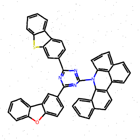 c1ccc2c3c(ccc2c1)-c1cccc2cccc(c12)N3c1nc(-c2ccc3c(c2)sc2ccccc23)nc(-c2ccc3oc4ccccc4c3c2)n1